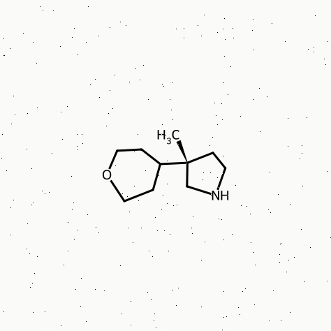 C[C@@]1(C2CCOCC2)CCNC1